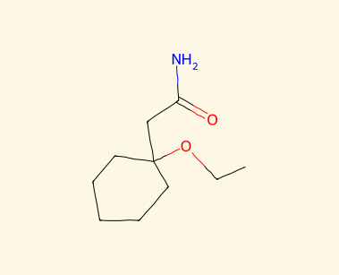 CCOC1(CC(N)=O)CCCCC1